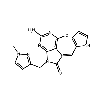 Cn1ccc(CN2C(=O)/C(=C/c3ccc[nH]3)c3c(Cl)nc(N)nc32)n1